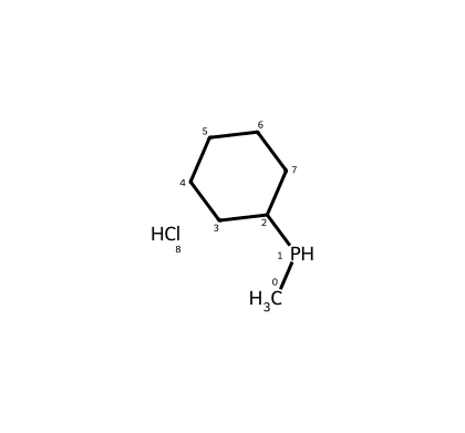 CPC1CCCCC1.Cl